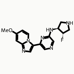 COc1ccn2c(-c3cncc(N[C@H]4CNC[C@@H]4F)n3)cnc2c1